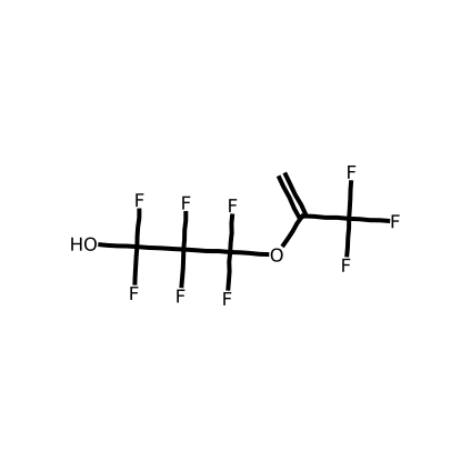 C=C(OC(F)(F)C(F)(F)C(O)(F)F)C(F)(F)F